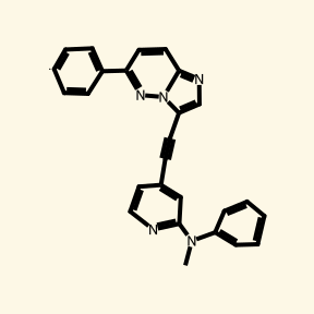 CN(c1ccccc1)c1cc(C#Cc2cnc3ccc(-c4cc[c]cc4)nn23)ccn1